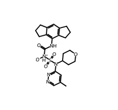 Cc1cnnc(N(C2CCOCC2)S(=O)(=O)[NH+]([O-])C(=O)Nc2c3c(cc4c2CCC4)CCC3)c1